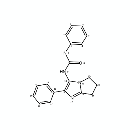 O=C(Nc1ccccc1)Nc1c(-c2ccccc2)nc2n1CCC2